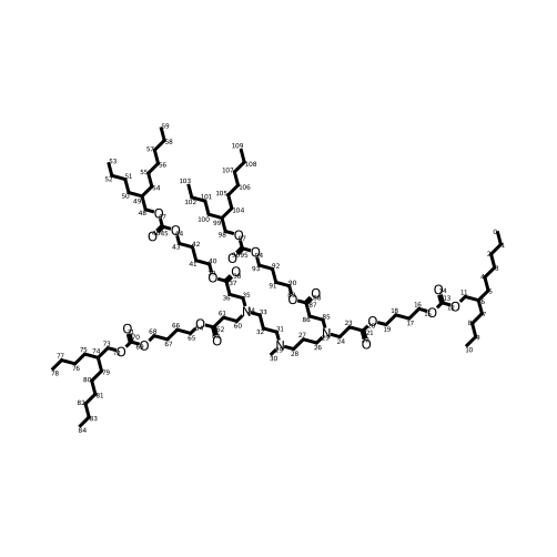 CCCCCCC(CCCC)COC(=O)OCCCCOC(=O)CCN(CCCN(C)CCCN(CCC(=O)OCCCCOC(=O)OCC(CCCC)CCCCCC)CCC(=O)OCCCCOC(=O)OCC(CCCC)CCCCCC)CCC(=O)OCCCCOC(=O)OCC(CCCC)CCCCCC